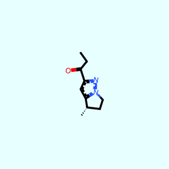 CCC(=O)c1cc2n(n1)CC[C@@H]2C